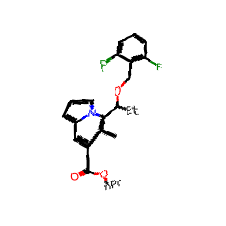 CCCOC(=O)c1cc2cccn2c(C(CC)OCc2c(F)cccc2F)c1C